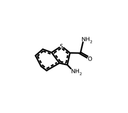 NC(=O)c1sc2ccccc2c1N